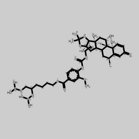 COc1cc(C(=O)OCCCCC(CON(O)O)ON(O)O)ccc1OC(=O)OCC(=O)[C@@]12OC(C)(C)O[C@@H]1CC1C3C[C@H](F)C4=CC(=O)C=C[C@]4(C)[C@@]3(F)[C@@H](O)C[C@@]12C